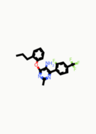 CCCc1ccccc1Oc1nc(C)nc(-c2ccc(C(F)(F)F)cc2F)c1N